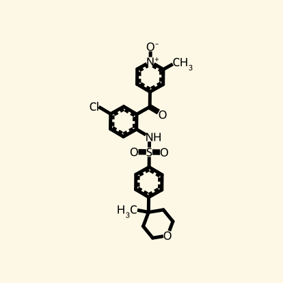 Cc1cc(C(=O)c2cc(Cl)ccc2NS(=O)(=O)c2ccc(C3(C)CCOCC3)cc2)cc[n+]1[O-]